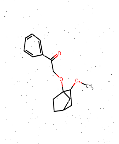 COC1CC2CCC1(OCC(=O)c1ccccc1)C2